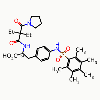 CCC(CC)(C(=O)N[C@@H](Cc1ccc(NS(=O)(=O)c2c(C)c(C)c(C)c(C)c2C)cc1)C(=O)O)C(=O)N1CCCC1